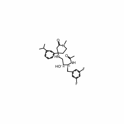 CC(=O)N[C@@H](Cc1cc(F)cc(F)c1)[C@H](O)CNC1(c2cccc(C(C)C)c2)CCN(C)C(=O)C1